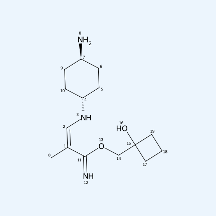 C/C(=C/N[C@H]1CC[C@H](N)CC1)C(=N)OCC1(O)CCC1